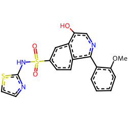 COc1ccccc1-c1ncc(O)c2cc(S(=O)(=O)Nc3nccs3)ccc12